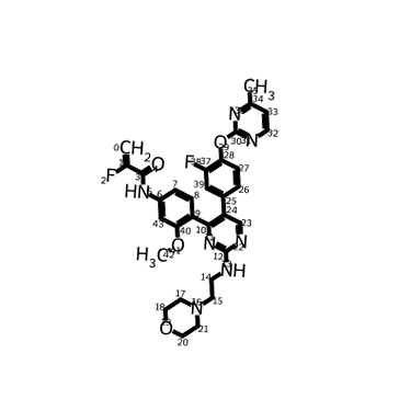 C=C(F)C(=O)Nc1ccc(-c2nc(NCCN3CCOCC3)ncc2-c2ccc(Oc3nccc(C)n3)c(F)c2)c(OC)c1